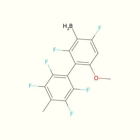 Bc1c(F)cc(OC)c(-c2c(F)c(F)c(C)c(F)c2F)c1F